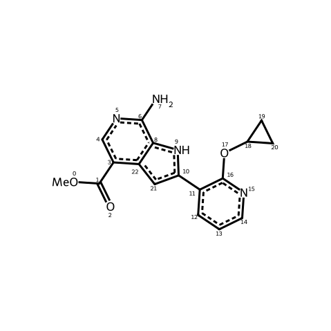 COC(=O)c1cnc(N)c2[nH]c(-c3cccnc3OC3CC3)cc12